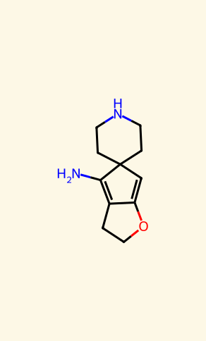 NC1=C2CCOC2=CC12CCNCC2